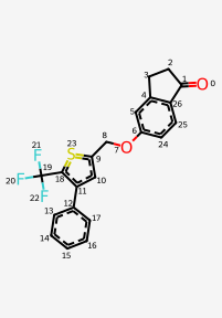 O=C1CCc2cc(OCc3cc(-c4ccccc4)c(C(F)(F)F)s3)ccc21